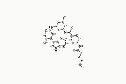 CN(C)C/C=C/C(=O)Nc1ccc(C(=O)N[C@@H]2C[C@H](F)C[C@H](Nc3ncc(Cl)c(-c4c[nH]c5ccccc45)n3)C2)cc1